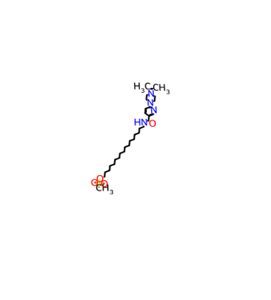 CC(C)N1CCN(c2ccc(C(=O)NCCCCCCCCCCCCCCCCCOS(C)(=O)=O)cn2)CC1